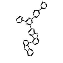 c1ccc(-c2ccc(-c3nc(-c4ccccc4)nc(-c4ccc5c(c4)sc4cccc(-c6cccc7sc8ccccc8c67)c45)n3)cc2)cc1